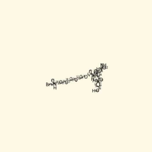 CC(C)[C@H](NC(=O)CCOCCOCCOCCOCCOCCOCCNC(=O)CBr)C(=O)N[C@@H](CCCNC(N)=O)C(=O)Nc1ccc(CO)cc1